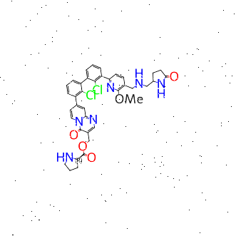 COc1nc(-c2cccc(-c3cccc(-c4ccn5c(=O)c(COC(=O)[C@H]6CCCN6)cnc5c4)c3Cl)c2Cl)ccc1CNCC1CCC(=O)N1